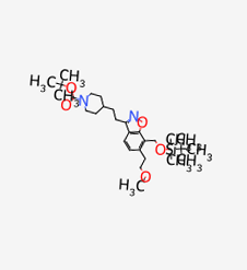 COCCc1ccc2c(CCC3CCN(C(=O)OC(C)(C)C)CC3)noc2c1CO[Si](C)(C)C(C)(C)C